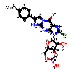 COc1ccc(-c2cn3c(=O)c4nc(Br)n([C@@H]5OC6COP(O)O[C@H]6C5O)c4nc3[nH]2)cc1